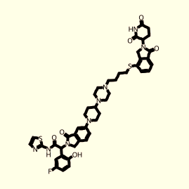 O=C1CCC(N2Cc3c(SCCCCN4CCN(C5CCN(c6ccc7c(c6)C(=O)N(C(C(=O)Nc6nccs6)c6cc(F)ccc6O)C7)CC5)CC4)cccc3C2=O)C(=O)N1